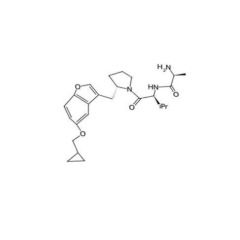 CC(C)[C@H](NC(=O)[C@H](C)N)C(=O)N1CCC[C@H]1Cc1coc2ccc(OCC3CC3)cc12